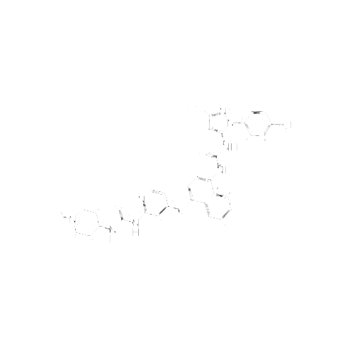 Cc1ccc(-n2nc(C)cc2NC(=O)Nc2ccc(Oc3ccnc(NC(=O)NC4CCN(C)CC4)c3)c3ccccc23)cc1